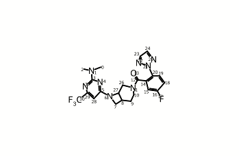 CN(C)c1nc(N2CC3CCN(C(=O)c4cc(F)ccc4-n4nccn4)CC32)cc(C(F)(F)F)n1